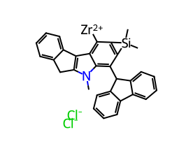 Cn1c2c(c3[c]([Zr+2])c4c(c(C5c6ccccc6-c6ccccc65)c31)[Si]4(C)C)-c1ccccc1C2.[Cl-].[Cl-]